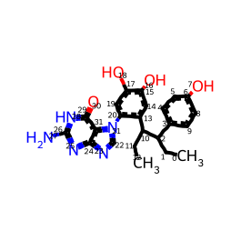 CCC(c1ccc(O)cc1)C(CC)c1cc(O)c(O)cc1-n1cnc2nc(N)[nH]c(=O)c21